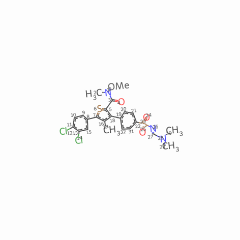 CON(C)C(=O)c1sc(-c2ccc(Cl)c(Cl)c2)c(C)c1-c1ccc(S(=O)(=O)/N=C/N(C)C)cc1